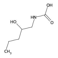 CCCC(O)CNC(=O)O